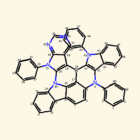 c1ccc(N2c3ccc4c5ccccc5n5c4c3B(c3c-5n(-c4ccccc4)c4ncncc34)c3c2c2ccccc2n3-c2ccccc2)cc1